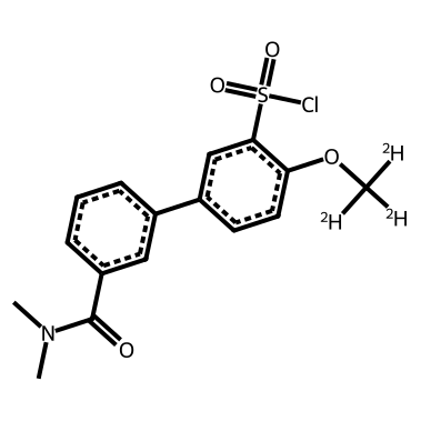 [2H]C([2H])([2H])Oc1ccc(-c2cccc(C(=O)N(C)C)c2)cc1S(=O)(=O)Cl